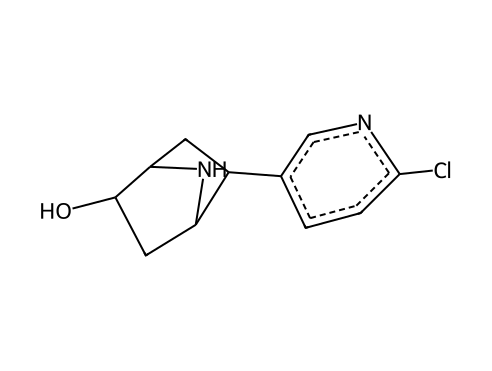 OC1CC2NC1CC2c1ccc(Cl)nc1